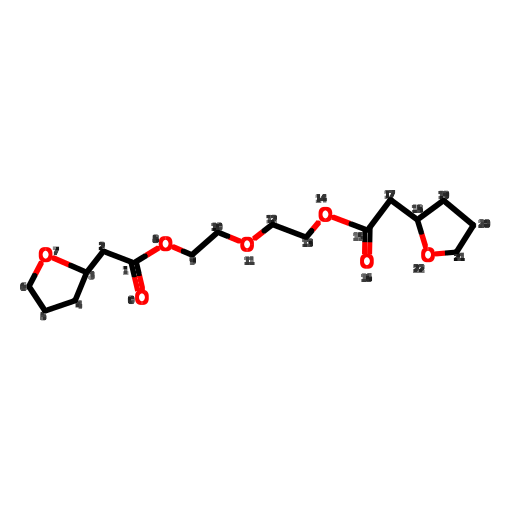 O=C(CC1CCCO1)OCCOCCOC(=O)CC1CCCO1